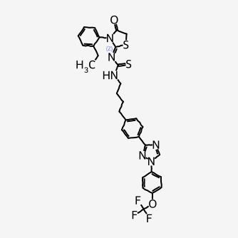 CCc1ccccc1N1C(=O)CS/C1=N\C(=S)NCCCCc1ccc(-c2ncn(-c3ccc(OC(F)(F)F)cc3)n2)cc1